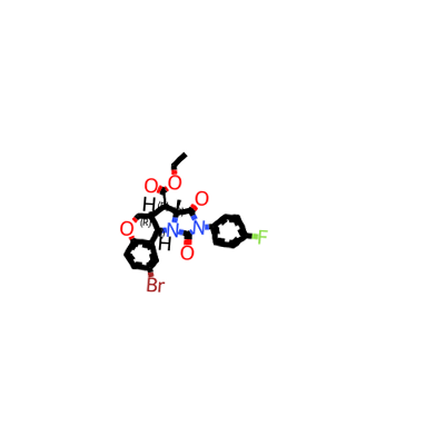 CCOC(=O)[C@@H]1[C@H]2COc3ccc(Br)cc3[C@H]2N2C(=O)N(c3ccc(F)cc3)C(=O)[C@@]12C